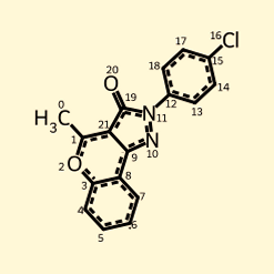 Cc1oc2cc[c]cc2c2nn(-c3ccc(Cl)cc3)c(=O)c1-2